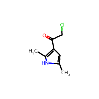 Cc1cc(C(=O)CCl)c(C)[nH]1